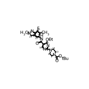 CCOc1nc(N2CCN(C(=O)OC(C)(C)C)CC2)ncc1C(=O)Nc1cc2cn(C)nc2c(F)c1C